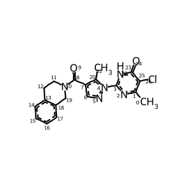 Cc1nc(-n2ncc(C(=O)N3CCc4ccccc4C3)c2C)[nH]c(=O)c1Cl